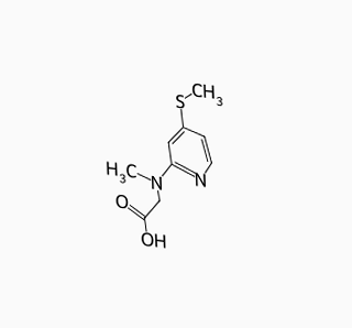 CSc1ccnc(N(C)CC(=O)O)c1